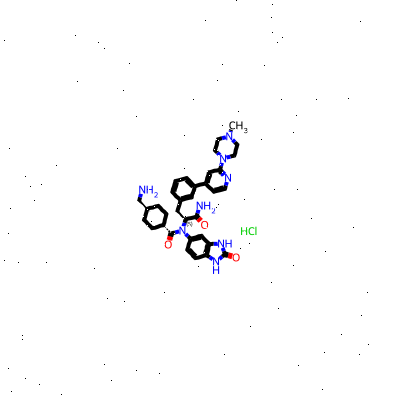 CN1CCN(c2cc(-c3cccc(C[C@@H](C(N)=O)N(c4ccc5[nH]c(=O)[nH]c5c4)C(=O)[C@H]4CC[C@H](CN)CC4)c3)ccn2)CC1.Cl